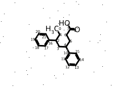 CCC(CC(CCC(=O)O)c1ccccc1)c1ccccc1